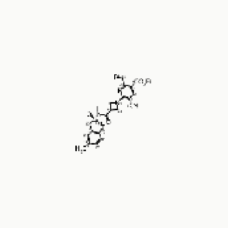 CCOC(=O)c1cc(C#N)c(N2CC(C(=O)NS(=O)(=O)Cc3cc(C)ccc3F)C2)nc1CF